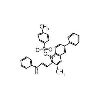 Cc1ccc(S(=O)(=O)O[n+]2c(C=CNc3ccccc3)c(C)cc3cc(-c4ccccc4)ccc32)cc1